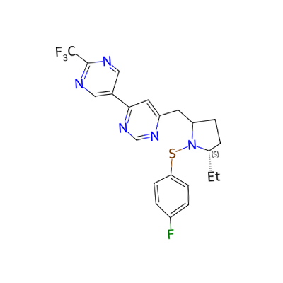 CC[C@H]1CCC(Cc2cc(-c3cnc(C(F)(F)F)nc3)ncn2)N1Sc1ccc(F)cc1